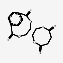 O=C1CCC(=O)OCCO1.O=C1OCCOC(=O)c2ccc1cc2